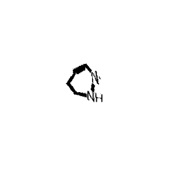 C1=C[N]NCC1